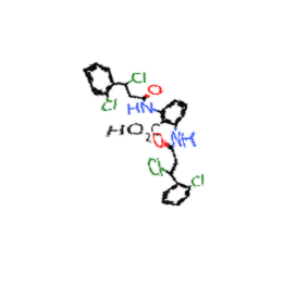 O=C(CC(Cl)c1ccccc1Cl)Nc1cccc(NC(=O)CC(Cl)c2ccccc2Cl)c1C(=O)O